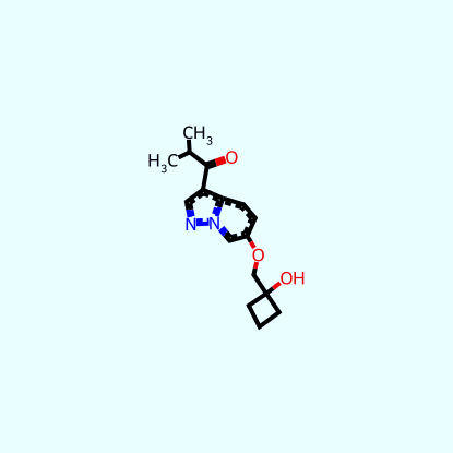 CC(C)C(=O)c1cnn2cc(OCC3(O)CCC3)ccc12